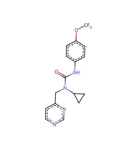 O=C(Nc1ccc(OC(F)(F)F)cc1)N(Cc1ccncn1)C1CC1